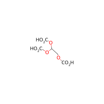 O=C(O)OCC(OC(=O)O)OC(=O)O